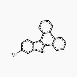 Bc1ccc2c(c1)[nH]c1c3ccccc3c3ccccc3c21